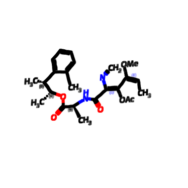 C=N/C(C(=O)N[C@@H](C)C(=O)O[C@H](C)[C@H](C)c1ccccc1C)=C(OC(C)=O)\C(=C/C)OC